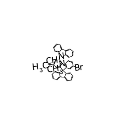 CC(C)(C)c1cc(-n2c3ccccc3c3ccccc32)nc(C2(c3cccc(Br)c3)c3ccccc3-c3ccccc32)c1